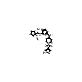 CC1(COc2nc(NC3CCN(S(=O)(=O)c4cn[nH]c4)CC3)ncc2C#N)CCCC1